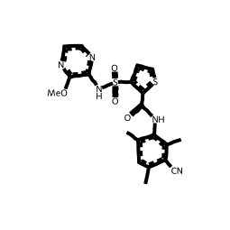 COc1nccnc1NS(=O)(=O)c1ccsc1C(=O)Nc1c(C)cc(C)c(C#N)c1C